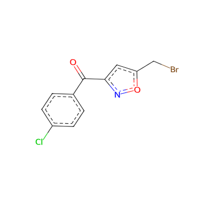 O=C(c1ccc(Cl)cc1)c1cc(CBr)on1